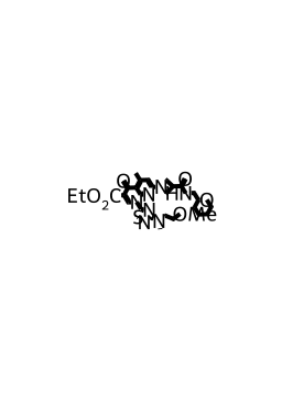 CCOC(=O)c1cn(-c2nc(N(C)CCOC)ns2)c2nc(N3CC(C(=O)NCC4CCCCO4)C3)cc(C)c2c1=O